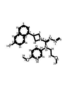 C=N/N=C(/N1CC(c2cccc3cc(F)ccc23)C1)N(CCOC)c1ccc(OC)nc1